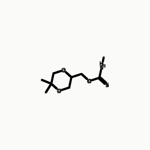 C[SH2]C(=S)OCC1COC(C)(C)CO1